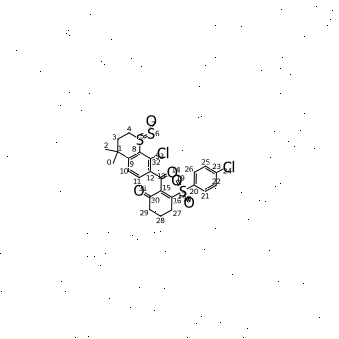 CC1(C)CCS(=S=O)c2c1ccc(C(=O)C1=C(S(=O)(=O)c3ccc(Cl)cc3)CCCC1=O)c2Cl